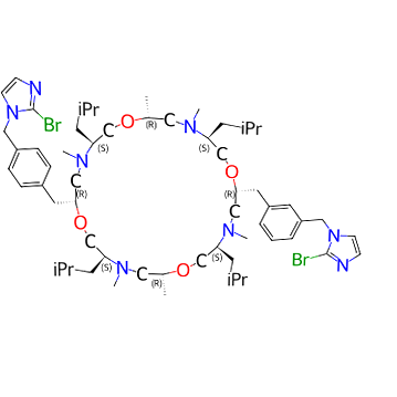 CC(C)C[C@H]1CO[C@H](C)CN(C)[C@@H](CC(C)C)CO[C@H](Cc2ccc(Cn3ccnc3Br)cc2)CN(C)[C@@H](CC(C)C)CO[C@H](C)CN(C)[C@@H](CC(C)C)CO[C@H](Cc2cccc(Cn3ccnc3Br)c2)CN1C